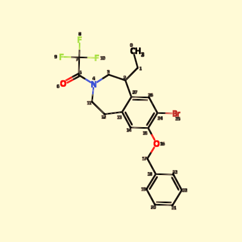 CCC1CN(C(=O)C(F)(F)F)CCc2cc(OCc3ccccc3)c(Br)cc21